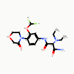 CCN(CC)[C@@H](C(N)=O)C(=O)Nc1ccc(N2CCOCC2=O)c(OC(F)F)c1